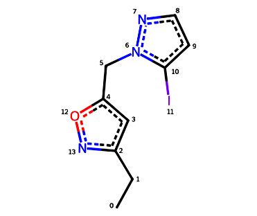 CCc1cc(Cn2nccc2I)on1